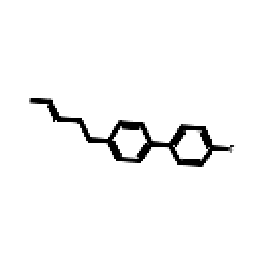 C/C=C/CCc1ccc(-c2ccc(F)cc2)cc1